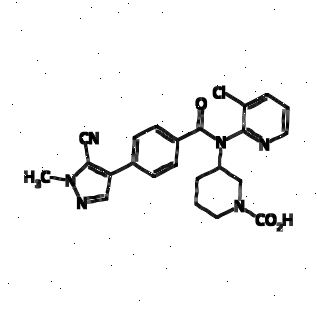 Cn1ncc(-c2ccc(C(=O)N(c3ncccc3Cl)C3CCCN(C(=O)O)C3)cc2)c1C#N